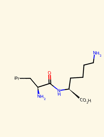 CC(C)C[C@H](N)C(=O)N[C@@H](CCCCN)C(=O)O